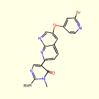 CNc1ncc(-c2ccc3cc(Oc4ccnc(Br)c4)cnc3n2)c(=O)n1C